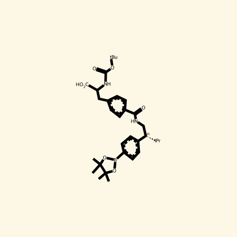 CC(C)[C@@H](CNC(=O)c1ccc(CC(NC(=O)OC(C)(C)C)C(=O)O)cc1)c1ccc(B2OC(C)(C)C(C)(C)O2)cc1